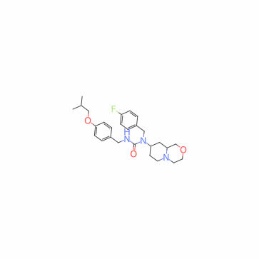 CC(C)COc1ccc(CNC(=O)N(Cc2ccc(F)cc2)C2CCN3CCOCC3C2)cc1